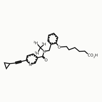 [2H]C([2H])([2H])N(Cc1ccccc1OCCCCCC(=O)O)C(=O)c1ccc(C#CC2CC2)nc1